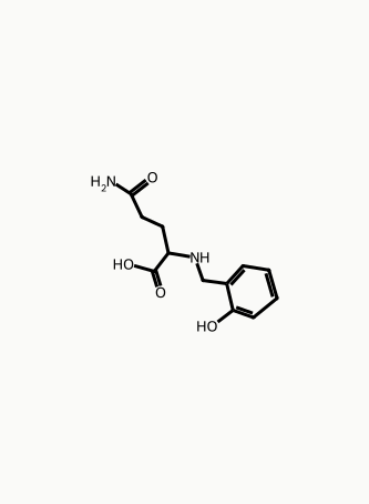 NC(=O)CCC(NCc1ccccc1O)C(=O)O